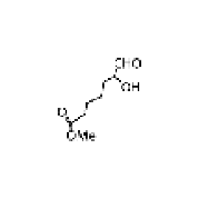 COC(=O)CCCCC(O)C=O